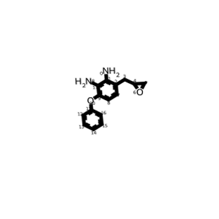 Nc1c(CC2CO2)ccc(Oc2ccccc2)c1N